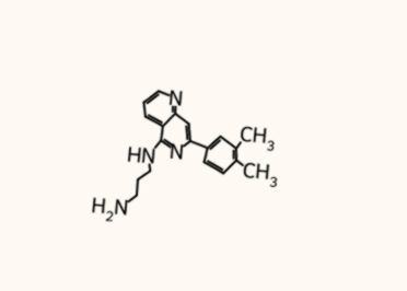 Cc1ccc(-c2cc3ncccc3c(NCCCN)n2)cc1C